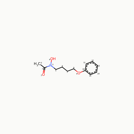 CC(=O)N(O)CCCCOc1ccccc1